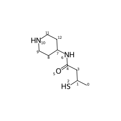 CC(S)CC(=O)NC1CCNCC1